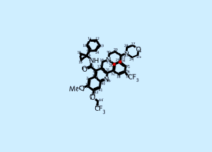 COc1cc2c(C(=O)NC3(c4ccccc4)CC3)c(CN3CCC(N4CCOCC4)CC3)c(-c3cccc(C(F)(F)F)c3)nc2cc1OCC(F)(F)F